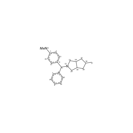 CNc1ccc(C(c2ccccc2)N2CC3CC(C)CC3C2)cc1